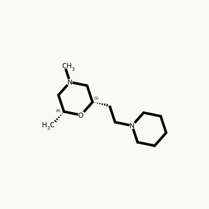 C[C@@H]1CN(C)C[C@H](CCN2CCCCC2)O1